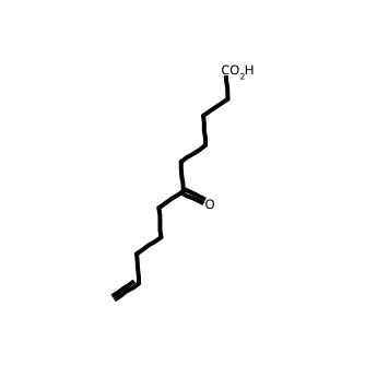 C=CCCCC(=O)CCCCC(=O)O